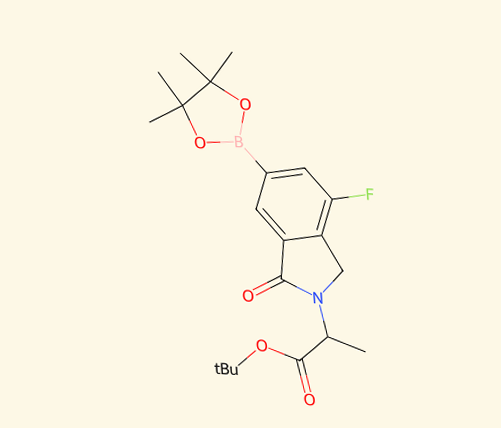 CC(C(=O)OC(C)(C)C)N1Cc2c(F)cc(B3OC(C)(C)C(C)(C)O3)cc2C1=O